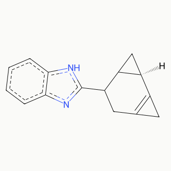 c1ccc2[nH]c(C3CC4=C(C4)[C@@H]4CC34)nc2c1